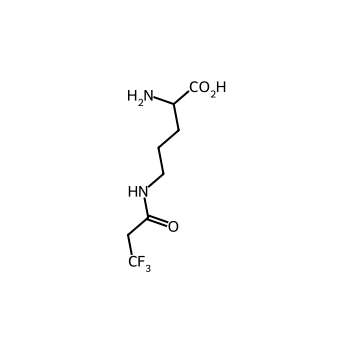 NC(CCCNC(=O)CC(F)(F)F)C(=O)O